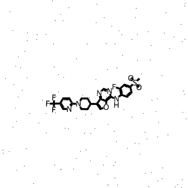 CS(=O)(=O)c1ccc(Nc2ncnc3c(C4CCN(c5ccc(C(F)(F)F)cn5)CC4)coc23)c(F)c1